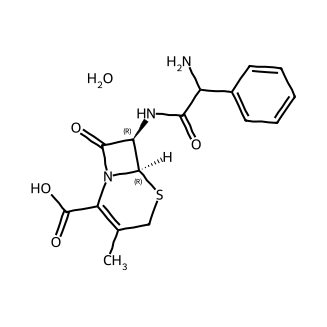 CC1=C(C(=O)O)N2C(=O)[C@@H](NC(=O)C(N)c3ccccc3)[C@H]2SC1.O